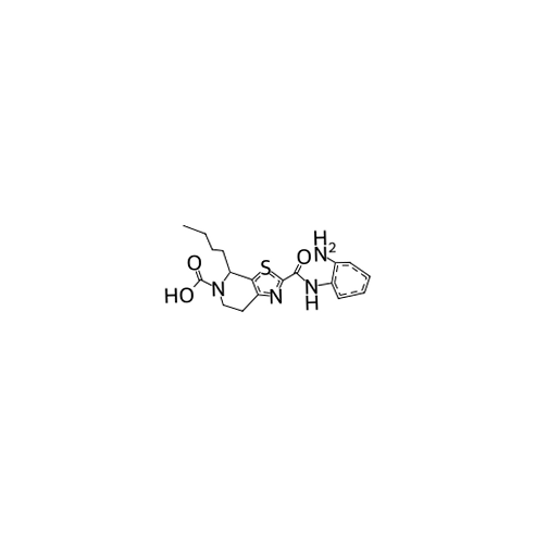 CCCCC1c2sc(C(=O)Nc3ccccc3N)nc2CCN1C(=O)O